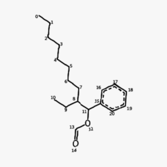 CCCCCCCCC(CC)C(OC=O)c1ccccc1